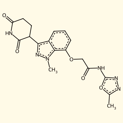 Cc1nnc(NC(=O)COc2cccc3c(C4CCC(=O)NC4=O)nn(C)c23)o1